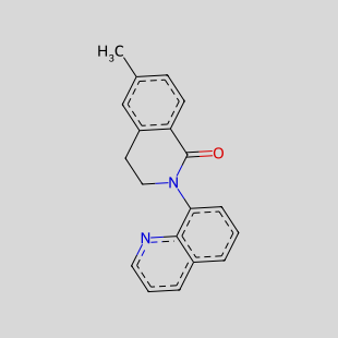 Cc1ccc2c(c1)CCN(c1cccc3cccnc13)C2=O